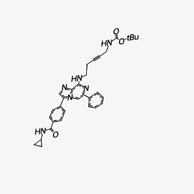 CC(C)(C)OC(=O)NCC#CCCNc1nc(-c2ccccc2)cn2c(-c3ccc(C(=O)NC4CC4)cc3)cnc12